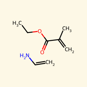 C=C(C)C(=O)OCC.C=CN